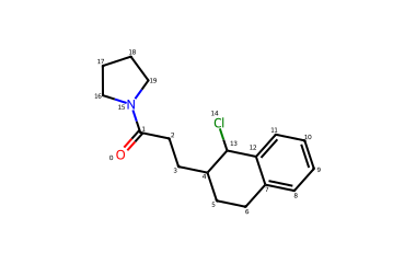 O=C(CCC1CCc2ccccc2C1Cl)N1CCCC1